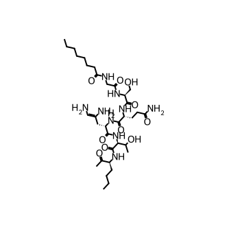 CCCCCCCC(=O)NCC(=O)N[C@@H](CO)C(=O)N[C@H](CCC(N)=O)C(=O)N[C@@H](C/C(N)=C/N)C(=O)N[C@H](C(=O)N[C@@H](CCCC)C(C)=O)C(C)O